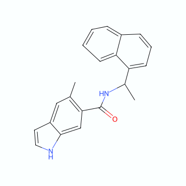 Cc1cc2cc[nH]c2cc1C(=O)NC(C)c1cccc2ccccc12